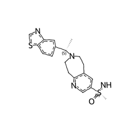 C[C@@H](c1ccc2scnc2c1)N1CCc2cc([S@@](C)(=N)=O)cnc2CC1